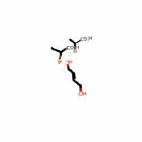 CC(Br)C(=O)O.C[C@H](Br)C(=O)O.OCC=CCO